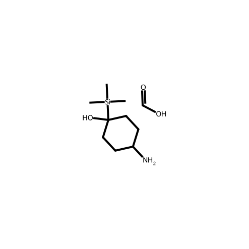 C[Si](C)(C)C1(O)CCC(N)CC1.O=CO